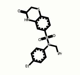 CCc1ccc(N(CC(C)C)S(=O)(=O)c2ccc3c(c2)NC(=O)CS3)cc1